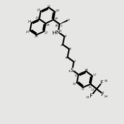 C[C@@H](NCCCCCSc1ccc(C(F)(F)F)cc1)c1cccc2ccccc12